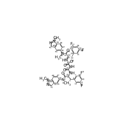 CN(C(=O)[C@H](Cc1cc(F)cc(F)c1)NC(=O)NS(=O)(=O)N[C@@H](Cc1cc(F)cc(F)c1)C(=O)N(C)c1ccc2c(cnn2C)c1)c1ccc2c(cnn2C)c1